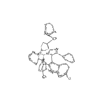 CC(c1ccc(Cl)cc1)n1cnc(-c2ccccc2)c1-c1c(C(=O)Nc2cccnc2N2CCC(Oc3ncccn3)CC2)[nH]c2cc(Cl)ccc12